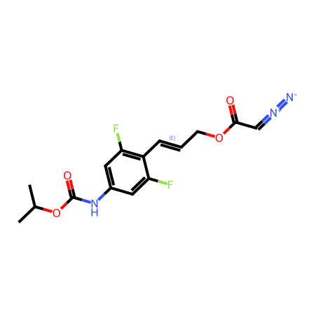 CC(C)OC(=O)Nc1cc(F)c(/C=C/COC(=O)C=[N+]=[N-])c(F)c1